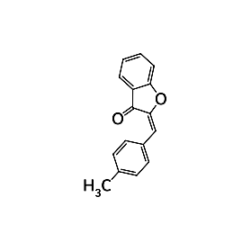 Cc1ccc(C=C2Oc3ccccc3C2=O)cc1